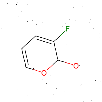 [O]C1OC=CC=C1F